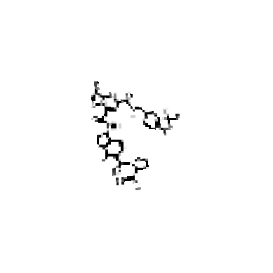 Cc1c(C(=O)N2CCC[C@H]2C(=O)O)ccc2c1CC[C@@H]2NC(=O)c1cc(C(=O)NCc2ccc(F)c(C(F)(F)F)c2)nc2c(F)cnn12